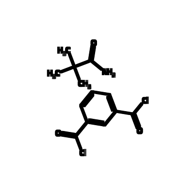 CC(C)(C)C(N)=O.O=C(Cl)c1cccc(C(=O)Cl)c1